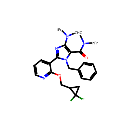 CCCN(C)C(=O)c1c(N(C=O)C(C)C)nc(-c2cccnc2OCC2CC2(F)F)n1Cc1ccccc1